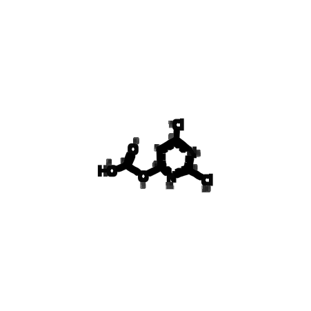 O=C(O)Oc1cc(Cl)nc(Cl)n1